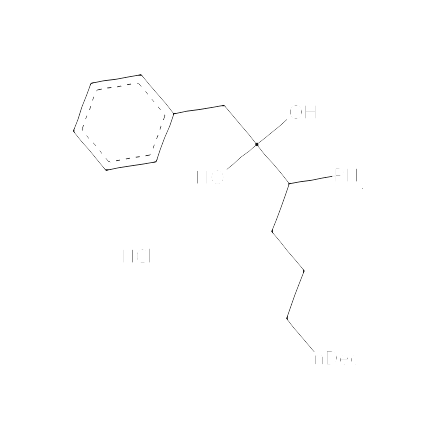 CCCCCCCCCCCCCC(P)C(O)(O)Cc1ccccc1.Cl